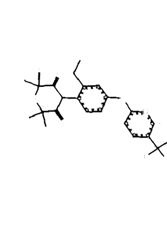 CCc1cc(Oc2ccc(C(F)(F)F)cn2)ccc1C1C(=O)C(C)(C)OC(C)(C)C1=O